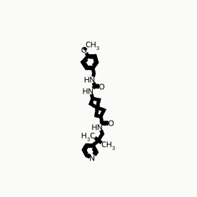 COc1ccc(CNC(=O)NC2CC3(C2)CC(C(=O)NCC(C)(C)c2cccnc2)C3)cc1